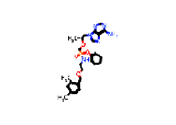 Cc1ccc(COCCNP(=O)(CO[C@H](C)Cn2cnc3c(N)ncnc32)Oc2ccccc2)c(C)c1